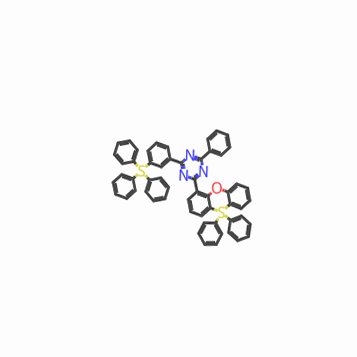 c1ccc(-c2nc(-c3cccc(S(c4ccccc4)(c4ccccc4)c4ccccc4)c3)nc(-c3cccc4c3Oc3ccccc3S4(c3ccccc3)c3ccccc3)n2)cc1